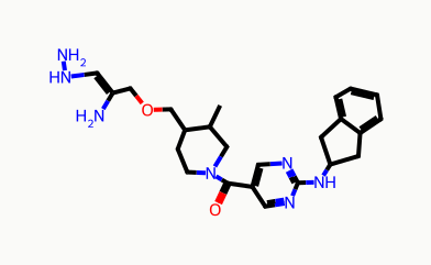 CC1CN(C(=O)c2cnc(NC3Cc4ccccc4C3)nc2)CCC1COC/C(N)=C/NN